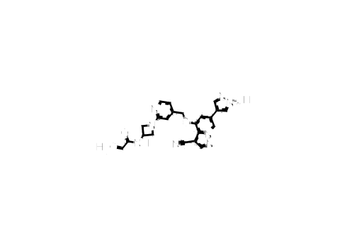 C=CC(=O)NC1CN(c2cc(COc3cc(-c4cnn(C)c4)cn4ncc(C#N)c34)ccn2)C1